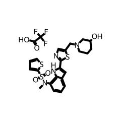 CN(c1cccc2cc(-c3ncc(CN4CCCC(O)C4)s3)[nH]c12)S(=O)(=O)c1cccs1.O=C(O)C(F)(F)F